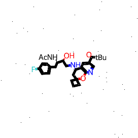 CC(=O)N[C@@H](Cc1ccc(F)cc1)[C@@H](O)CN[C@H]1CC2(CCC2)Oc2ncc(C(=O)C(C)(C)C)cc21